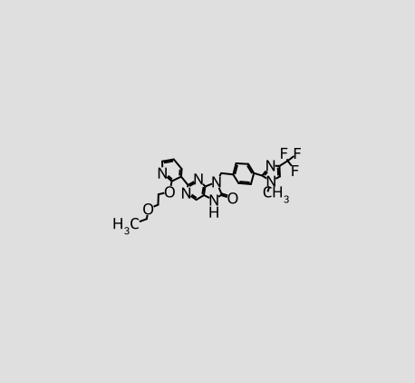 CCOCCOc1ncccc1-c1ncc2[nH]c(=O)n(Cc3ccc(-c4nc(C(F)(F)F)cn4C)cc3)c2n1